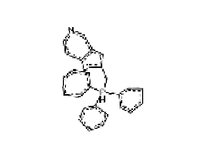 c1ccc([PH](Cc2cc3cnccc3o2)(c2ccccc2)c2ccccc2)cc1